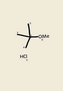 COC(C)(C)C.Cl